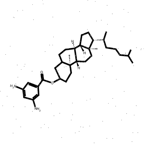 CC(C)CCCC(C)[C@H]1CC[C@H]2[C@@H]3CCC4CC(OC(=O)c5cc(N)cc(N)c5)CC[C@]4(C)[C@H]3CC[C@]12C